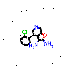 Nc1oc2cncc(-c3ccccc3Cl)c2c1N